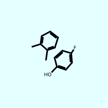 Cc1ccccc1C.Oc1ccc(F)cc1